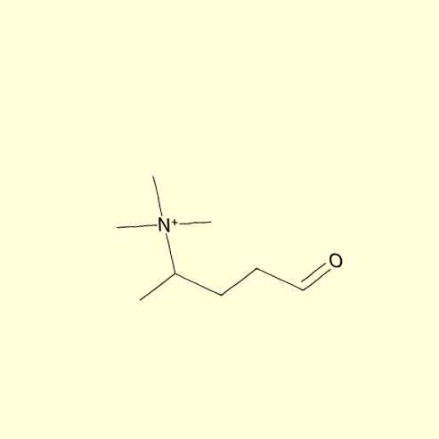 CC(CCC=O)[N+](C)(C)C